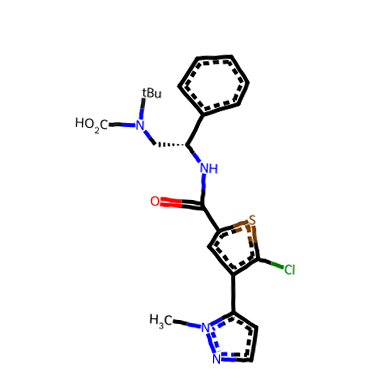 Cn1nccc1-c1cc(C(=O)N[C@H](CN(C(=O)O)C(C)(C)C)c2ccccc2)sc1Cl